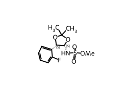 COS(=O)(=O)N[C@H]1OC(C)(C)O[C@H]1c1ccccc1F